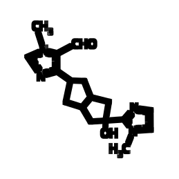 Cn1ccnc1C1(O)CC2CC(c3ncn(C)c3C=O)CC2C1